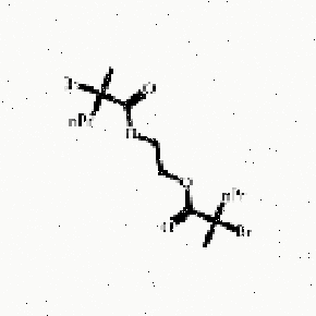 CCCC(C)(Br)C(=O)OCCOC(=O)C(C)(Br)CCC